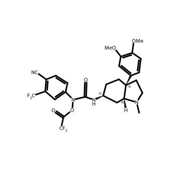 COc1ccc([C@]23CC[C@H](NC(=O)N(OC(=O)C(F)(F)F)c4ccc(C#N)c(C(F)(F)F)c4)C[C@H]2N(C)CC3)cc1OC